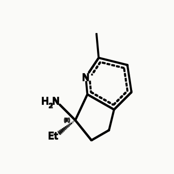 CC[C@@]1(N)CCc2ccc(C)nc21